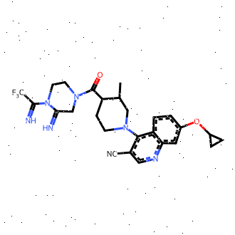 CC1CN(c2c(C#N)cnc3cc(OC4CC4)ccc23)CCC1C(=O)N1CCN(C(=N)C(F)(F)F)C(=N)C1